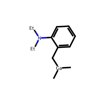 CCN(CC)c1ccccc1[CH2][Ga]([CH3])[CH3]